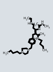 C=CNCCC(/N=C(\C)NC)=C(\Cc1ccc(CN2CCN(CCCCC)CC2)cc1)C(=C)NCCCC